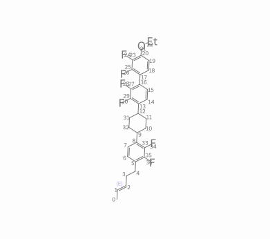 C/C=C/CCc1ccc(C2CCC(c3ccc(-c4ccc(OCC)c(F)c4F)c(F)c3F)CC2)c(F)c1F